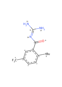 CC(C)(C)c1ccc(C(F)(F)F)cc1C(=O)N=C(N)N